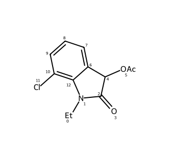 CCN1C(=O)C(OC(C)=O)c2cccc(Cl)c21